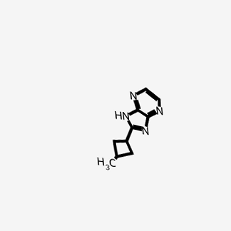 CC1CC(c2nc3nccnc3[nH]2)C1